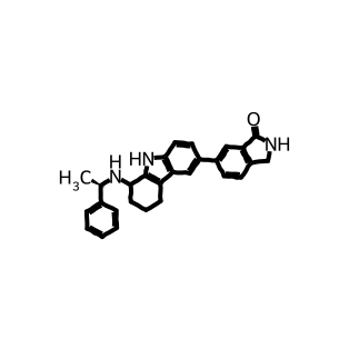 C[C@@H](NC1CCCc2c1[nH]c1ccc(-c3ccc4c(c3)C(=O)NC4)cc21)c1ccccc1